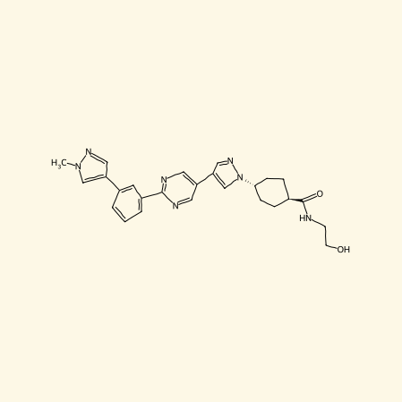 Cn1cc(-c2cccc(-c3ncc(-c4cnn([C@H]5CC[C@H](C(=O)NCCO)CC5)c4)cn3)c2)cn1